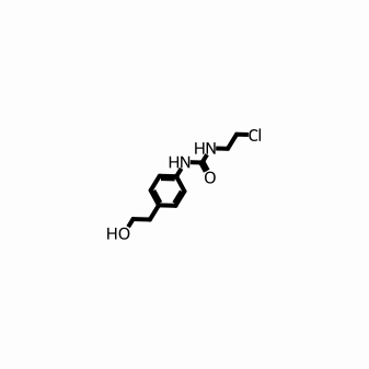 O=C(NCCCl)Nc1ccc(CCO)cc1